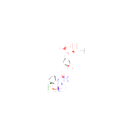 CCOC(Cc1ccc(OCCN(CC2CCCCC2)C(=O)Nc2ccccc2OC(F)(F)F)cc1)C(=O)O